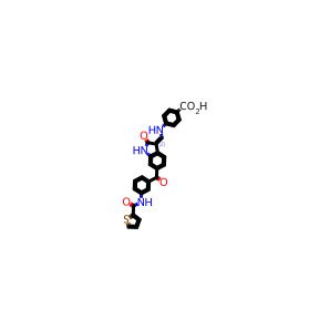 O=C1Nc2cc(C(=O)c3cccc(NC(=O)c4cccs4)c3)ccc2/C1=C/Nc1ccc(C(=O)O)cc1